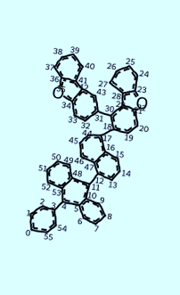 c1ccc(-c2c3ccccc3c(-c3cccc4c(-c5ccc6oc7ccccc7c6c5-c5ccc6oc7ccccc7c6c5)cccc34)c3ccccc23)cc1